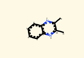 Cc1nc2c[c]ccc2nc1C